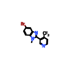 Cn1c(-c2cnccc2C(F)(F)F)nc2cc(Br)ccc21